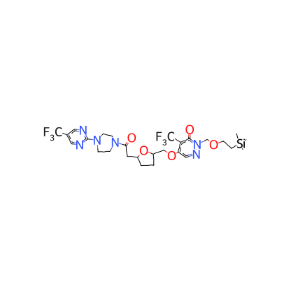 C[Si](C)(C)CCOCn1ncc(OCC2CCC(CC(=O)N3CCN(c4ncc(C(F)(F)F)cn4)CC3)O2)c(C(F)(F)F)c1=O